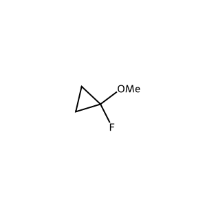 COC1(F)CC1